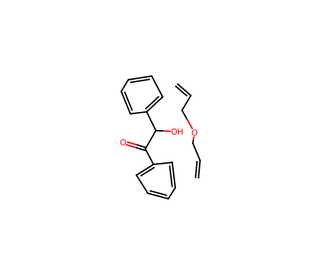 C=CCOCC=C.O=C(c1ccccc1)C(O)c1ccccc1